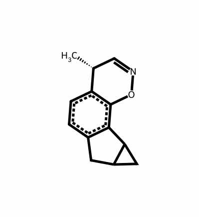 C[C@@H]1C=NOc2c1ccc1c2C2CC2C1